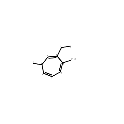 CCC1=CC(C)C=CC=C1F